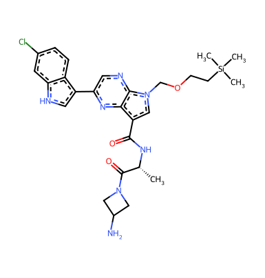 C[C@@H](NC(=O)c1cn(COCC[Si](C)(C)C)c2ncc(-c3c[nH]c4cc(Cl)ccc34)nc12)C(=O)N1CC(N)C1